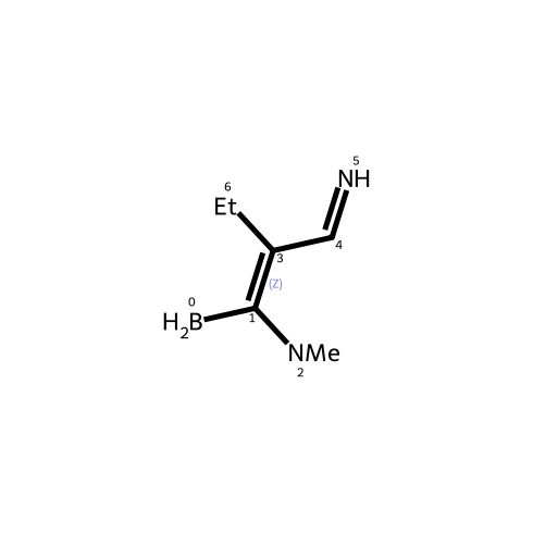 B/C(NC)=C(/C=N)CC